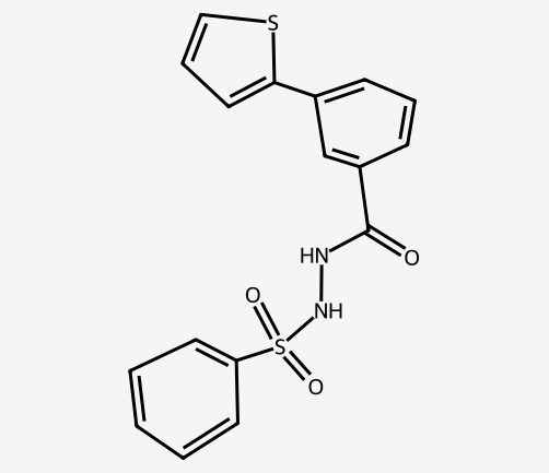 O=C(NNS(=O)(=O)c1ccccc1)c1cccc(-c2cccs2)c1